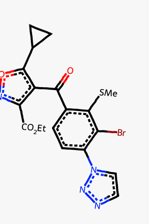 CCOC(=O)c1noc(C2CC2)c1C(=O)c1ccc(-n2ccnn2)c(Br)c1SC